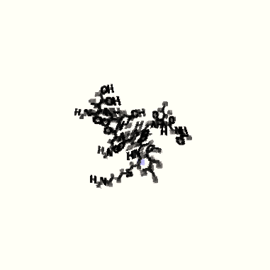 C=C(N/C(=C\CSCCCCN)C(OC)C(C)C(C)C)[S+]([O-])C[C@H](NC(=O)CNC(=O)[C@H](NC(=O)CNC(C)=O)[C@@H](C)CC)C(=O)N[C@@H](CC(N)=O)C(=O)N1C[C@H](O)C[C@@H]1C(=O)N[C@H](C(N)=O)[C@@H](C)[C@@H](O)CO